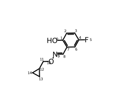 Oc1ccc(F)cc1C=NOCC1CC1